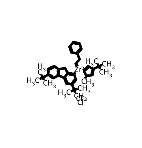 CC1C=C(C(C)(C)C)C=[C]1[Zr+2](=[CH]Cc1ccccc1)[c]1cc(C(C)(C)C)cc2c1Cc1ccc(C(C)(C)C)cc1-2.[Cl-].[Cl-]